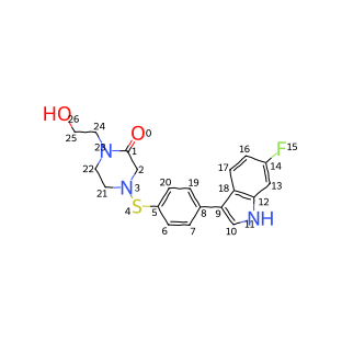 O=C1CN(Sc2ccc(-c3c[nH]c4cc(F)ccc34)cc2)CCN1CCO